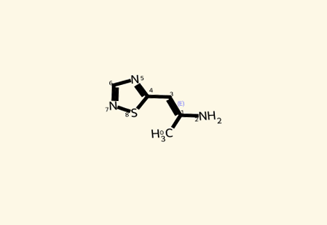 C/C(N)=C\c1ncns1